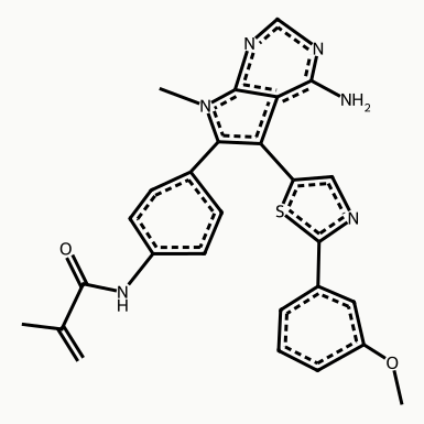 C=C(C)C(=O)Nc1ccc(-c2c(-c3cnc(-c4cccc(OC)c4)s3)c3c(N)ncnc3n2C)cc1